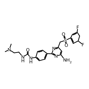 CN(C)CCNC(=O)Nc1ccc(-c2nc(N)cc(CS(=O)(=O)C3=CC(F)CC(F)=C3)n2)cc1